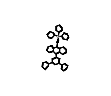 C(#C[Si](c1ccccc1)(c1ccccc1)c1ccccc1)c1c2ccccc2c(-c2cc(-c3ccccc3)cc(-c3ccccc3)c2)c2ccccc12